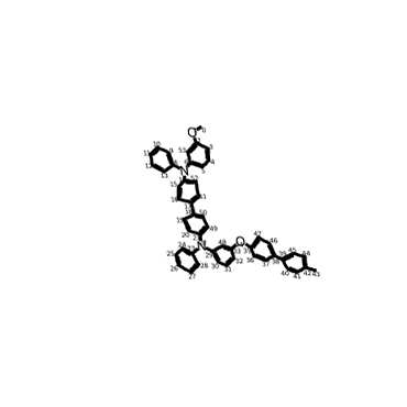 COc1cccc(N(c2ccccc2)c2ccc(-c3ccc(N(c4ccccc4)c4cccc(Oc5ccc(-c6ccc(C)cc6)cc5)c4)cc3)cc2)c1